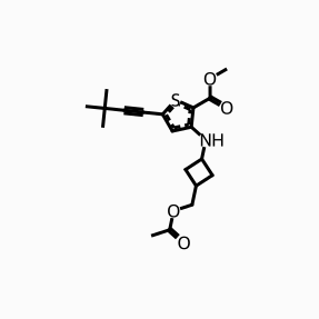 COC(=O)c1sc(C#CC(C)(C)C)cc1NC1CC(COC(C)=O)C1